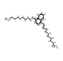 CCCCCCCCSSc1nnc(SSCCCCCCCC)c2ccccc12